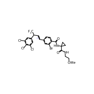 COCCNC(=O)C1(NC(=O)c2ccc(/C=C/C(c3cc(Cl)c(Cl)c(Cl)c3)C(F)(F)F)cc2Br)CC1